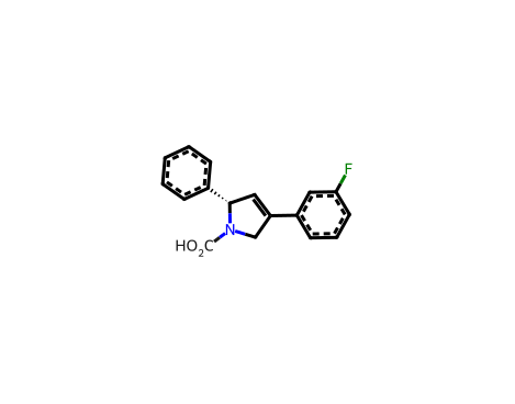 O=C(O)N1CC(c2cccc(F)c2)=C[C@H]1c1ccccc1